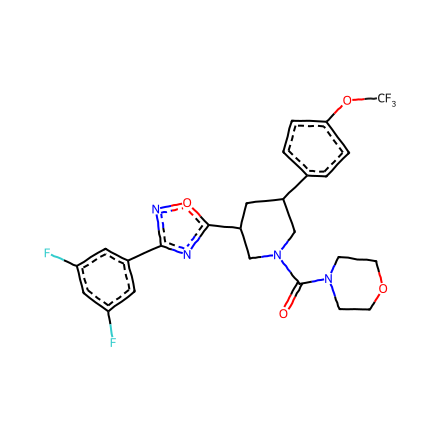 O=C(N1CCOCC1)N1CC(c2ccc(OC(F)(F)F)cc2)CC(c2nc(-c3cc(F)cc(F)c3)no2)C1